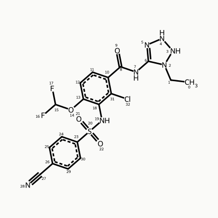 CCN1NNN=C1NC(=O)c1ccc(OC(F)F)c(NS(=O)(=O)c2ccc(C#N)cc2)c1Cl